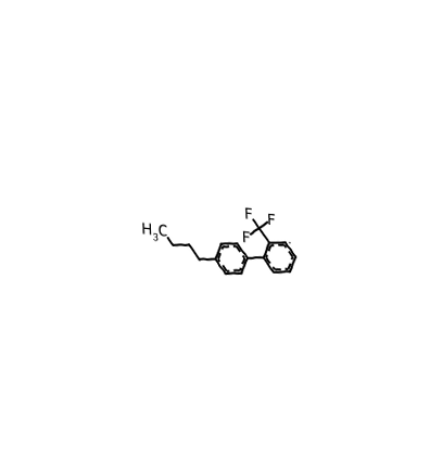 CCCCc1ccc(-c2ccc[c]c2C(F)(F)F)cc1